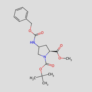 COC(=O)[C@@H]1CC(NC(=O)OCc2ccccc2)CN1C(=O)OC(C)(C)C